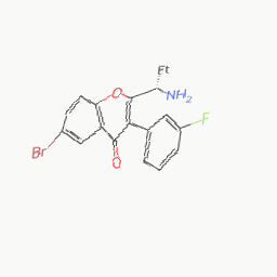 CC[C@H](N)c1oc2ccc(Br)cc2c(=O)c1-c1cccc(F)c1